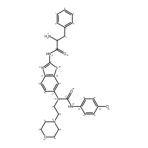 NC(Cc1ccccc1)C(=O)Nc1nc2ccc(N(CCN3CCOCC3)C(=O)Nc3ccc(Cl)cc3)cc2s1